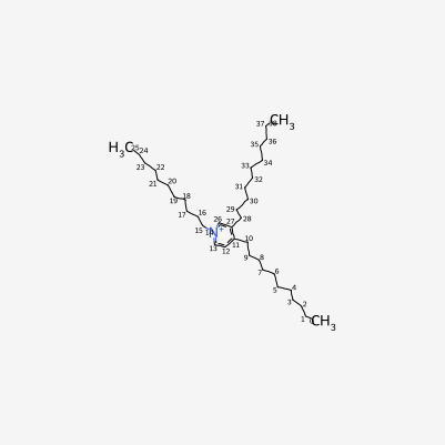 CCCCCCCCCCCc1cc[n+](CCCCCCCCCCC)cc1CCCCCCCCCCC